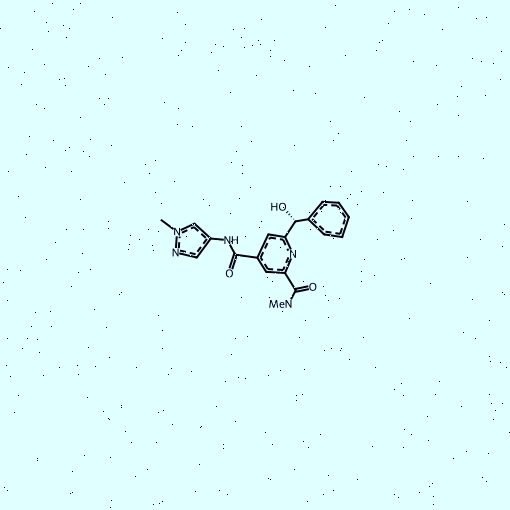 CNC(=O)c1cc(C(=O)Nc2cnn(C)c2)cc([C@H](O)c2ccccc2)n1